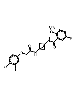 COc1ncc(F)cc1C(=O)NC12CC(NC(=O)COc3ccc(Cl)c(F)c3)(C1)C2